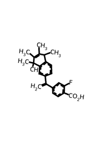 C=C(c1ccc(C(=O)O)c(F)c1)c1ccc2c(c1)C(C)(C)C(C)=C(C)C2C